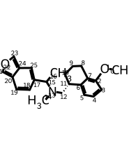 COc1cccc2c1CCC[C@H]2CN(C)C(C)c1ccc2cocc2c1